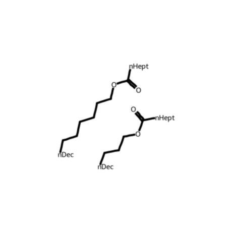 CCCCCCCCCCCCCCCCOC(=O)CCCCCCC.CCCCCCCCCCCCCOC(=O)CCCCCCC